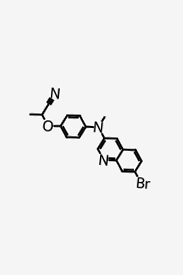 CC(C#N)Oc1ccc(N(C)c2cnc3cc(Br)ccc3c2)cc1